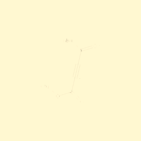 CCCCC(=O)C#CC(=O)OC(C)(C)C